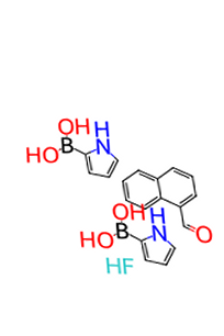 F.O=Cc1cccc2ccccc12.OB(O)c1ccc[nH]1.OB(O)c1ccc[nH]1